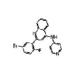 Fc1ccc(Br)cc1-c1cc(Nc2ccncc2)c2ccccc2n1